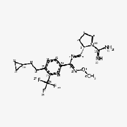 CO/N=C(\N=C\[C@@H]1CCCN1C(=N)N)c1ccc(CCC2CC2)c(C(F)(F)F)c1